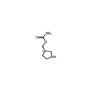 CC(C)(C)C(=O)OC[C@@H]1CCNC1